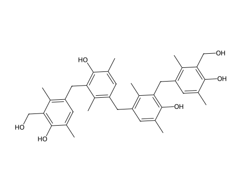 Cc1cc(Cc2c(C)c(Cc3cc(C)c(O)c(Cc4cc(C)c(O)c(CO)c4C)c3C)cc(C)c2O)c(C)c(CO)c1O